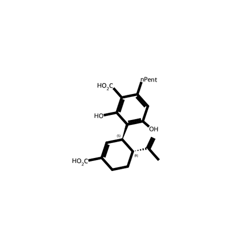 C=C(C)[C@@H]1CCC(C(=O)O)=C[C@H]1c1c(O)cc(CCCCC)c(C(=O)O)c1O